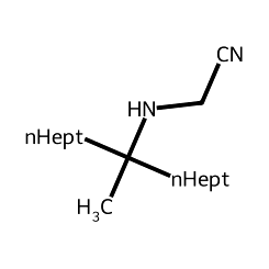 CCCCCCCC(C)(CCCCCCC)NCC#N